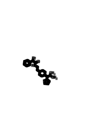 CCC(C(=O)NCCC1CCC(C(c2cccs2)N(C)C)CC1)c1ccccc1